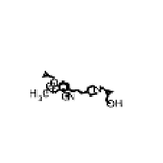 CN(C)Cc1c(OCC2CC2)ccc2c(CCC3CCN(CC4CC4CO)CC3)noc12